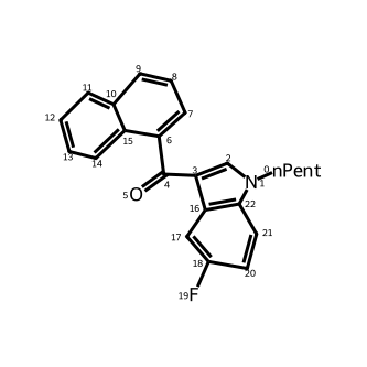 CCCCCn1cc(C(=O)c2cccc3ccccc23)c2cc(F)ccc21